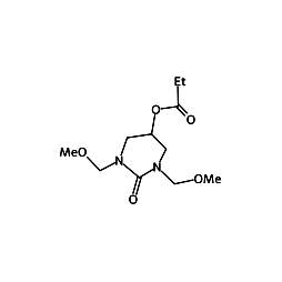 CCC(=O)OC1CN(COC)C(=O)N(COC)C1